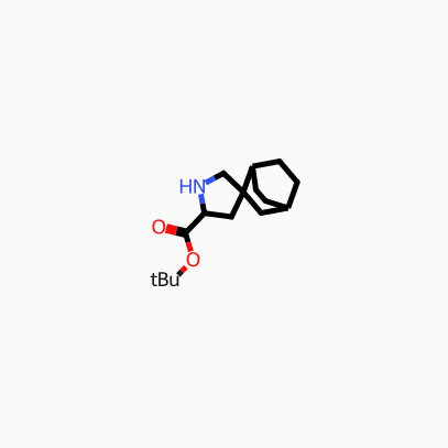 CC(C)(C)OC(=O)C1CC2(CN1)CC1CCC2CC1